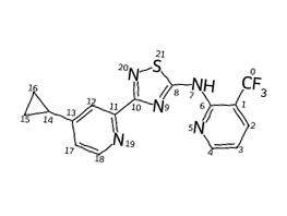 FC(F)(F)c1cccnc1Nc1nc(-c2cc(C3CC3)ccn2)ns1